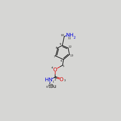 CC(C)(C)NC(=O)OCc1ccc(CN)cc1